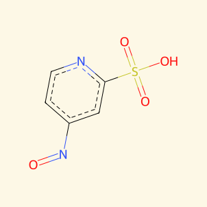 O=Nc1ccnc(S(=O)(=O)O)c1